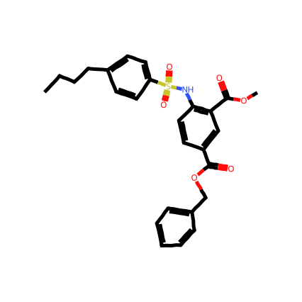 CCCCc1ccc(S(=O)(=O)Nc2ccc(C(=O)OCc3ccccc3)cc2C(=O)OC)cc1